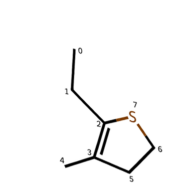 CCC1=C(C)CCS1